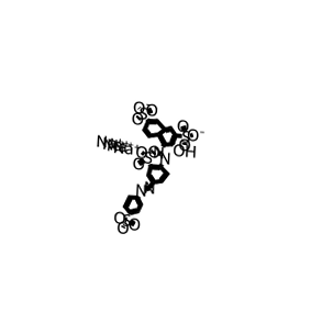 O=S(=O)([O-])c1ccc(N=Nc2ccc(N=Nc3c(O)c(S(=O)(=O)[O-])cc4cc(S(=O)(=O)[O-])ccc34)c(S(=O)(=O)[O-])c2)cc1.[Na+].[Na+].[Na+].[Na+]